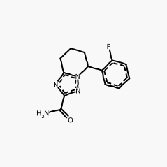 NC(=O)c1nc2n(n1)C(c1ccccc1F)CCC2